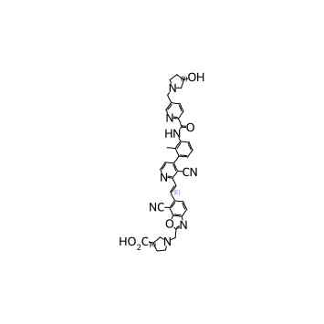 Cc1c(NC(=O)c2ccc(CN3CC[C@@H](O)C3)cn2)cccc1-c1ccnc(/C=C/c2ccc3nc(CN4CC[C@@H](C(=O)O)C4)oc3c2C#N)c1C#N